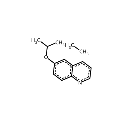 CC.CC(C)Oc1ccc2ncccc2c1